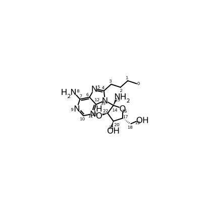 CCCCc1nc2c(N)ncnc2n1[C@]1(N)O[C@H](CO)[C@@H](O)[C@H]1O